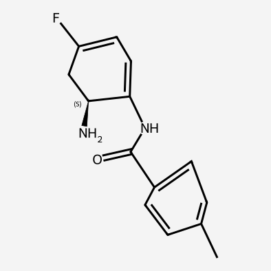 Cc1ccc(C(=O)NC2=CC=C(F)C[C@@H]2N)cc1